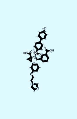 O=C(O)c1cccc(CN([C@]2(C(=O)O)C[C@H]2c2cccc(OCCn3ccnc3)c2)S(=O)(=O)c2ccc(-c3ccc(Cl)cc3)cc2)c1